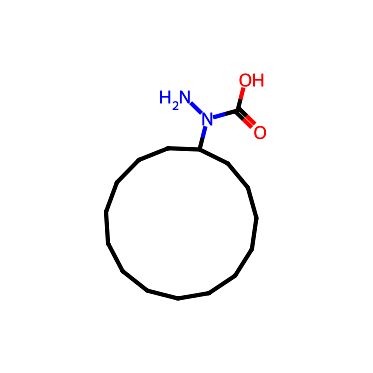 NN(C(=O)O)C1CCCCCCCCCCCCCC1